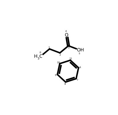 CCCC(=O)O.c1ccccc1